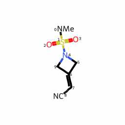 CNS(=O)(=O)N1CC(=CC#N)C1